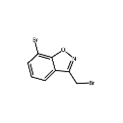 BrCc1noc2c(Br)cccc12